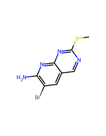 CSc1ncc2cc(Br)c(N)nc2n1